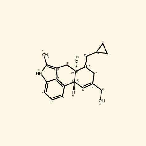 Cc1[nH]c2cccc3c2c1C[C@@H]1[C@@H]3C=C(CO)CN1CC1CC1